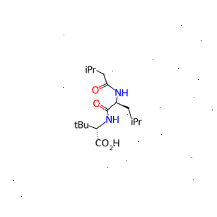 CC(C)CC(=O)N[C@@H](CC(C)C)C(=O)N[C@H](C(=O)O)C(C)(C)C